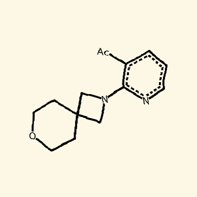 CC(=O)c1cccnc1N1CC2(CCOCC2)C1